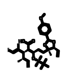 C=C[C@@H]1OC(c2ccc(OC)cc2)O[C@]1(C)CC[C@@H](O[Si](C)(C)C(C)(C)C)C(C(=O)O)[C@@H](C(C)=CI)[C@@H](C)C=C